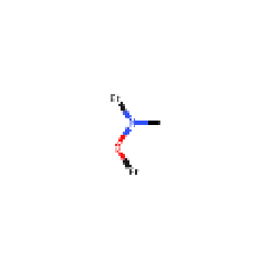 CCON(C)CC